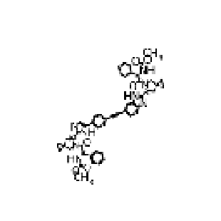 COC(=O)N[C@@H](C(=O)N1CC2(CC2)C[C@H]1c1ncc(-c2ccc(C#Cc3ccc4nc([C@@H]5CC6(CC6)CN5C(=O)[C@H](NC(=O)OC)c5ccccc5)[nH]c4c3)cc2)[nH]1)c1ccccc1